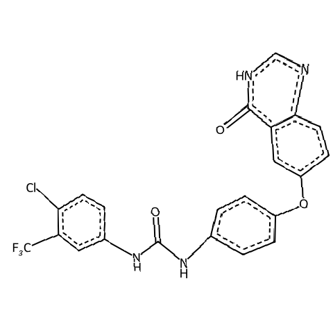 O=C(Nc1ccc(Oc2ccc3nc[nH]c(=O)c3c2)cc1)Nc1ccc(Cl)c(C(F)(F)F)c1